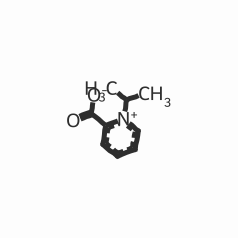 CC(C)[n+]1ccccc1C(=O)[O-]